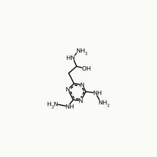 NNc1nc(CC(O)NN)nc(NN)n1